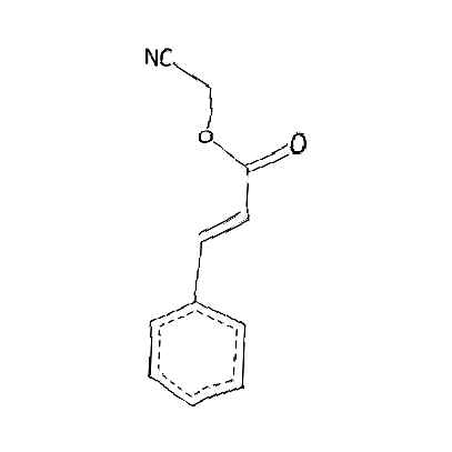 N#CCOC(=O)C=Cc1ccccc1